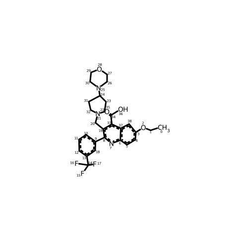 CCOc1ccc2nc(-c3cccc(C(F)(F)F)c3)c(CN3CCC(N4CCOCC4)CC3)c(C(=O)O)c2c1